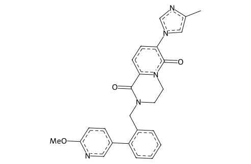 COc1ccc(-c2ccccc2CN2CCn3c(ccc(-n4cnc(C)c4)c3=O)C2=O)cn1